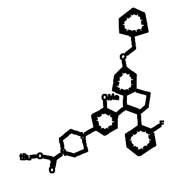 COc1cc(N2CCN(C(=O)OC(C)(C)C)CC2)ccc1C1=C(c2ccccc2F)CCc2cc(OCc3ccccc3)ccc21